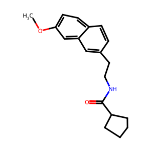 COc1ccc2ccc(CCNC(=O)C3CCCC3)cc2c1